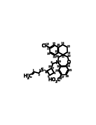 C=CCS[C@H]1CC[C@@H]1CN1CC2(CCCc3cc(Cl)ccc32)COc2ccc(C(=O)O)cc21